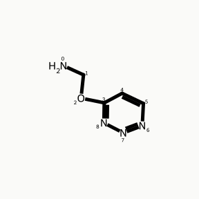 NCOc1ccnnn1